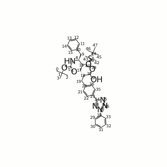 CC(C)(C)OC(=O)N[C@@H](Cc1ccccc1)[C@H](C[C@@H](Cc1ccc(-c2nnn(-c3ccccc3)n2)cc1)C(=O)O)O[Si](C)(C)C(C)(C)C